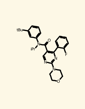 CC(C)N(C(=O)c1cnc(N2CCOCC2)nc1-c1ccccc1F)c1cccc(C(C)(C)C)c1